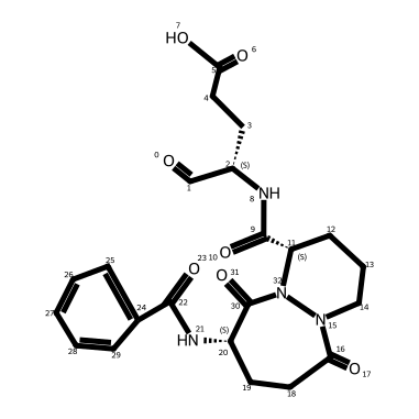 O=C[C@H](CCC(=O)O)NC(=O)[C@@H]1CCCN2C(=O)CC[C@H](NC(=O)c3ccccc3)C(=O)N12